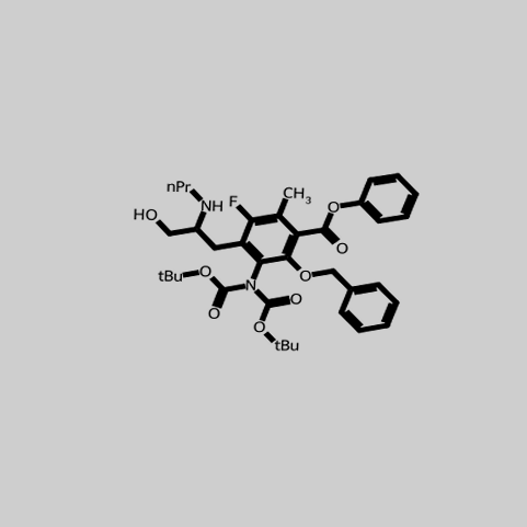 CCCNC(CO)Cc1c(F)c(C)c(C(=O)Oc2ccccc2)c(OCc2ccccc2)c1N(C(=O)OC(C)(C)C)C(=O)OC(C)(C)C